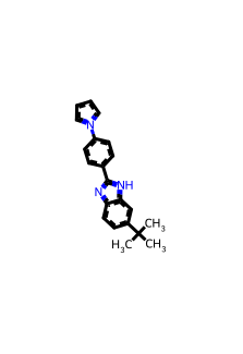 CC(C)(C)c1ccc2nc(-c3ccc(-n4cccc4)cc3)[nH]c2c1